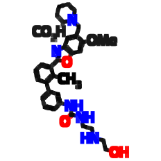 COc1cc2oc(-c3cccc(-c4cccc(NC(=O)NCCNCCO)c4)c3C)nc2cc1CN1CCCCC1C(=O)O